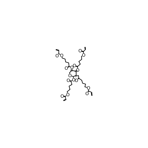 C=CC(=O)OCCCCC(=O)C[C@H]1C(OC(=O)CCCCOC(=O)C=C)OC[C@@H](OC(=O)CCCCOC(=O)C=C)[C@@H]1OC(=O)CCCCOC(=O)C=C